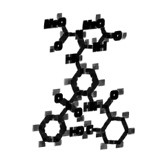 COC(=O)N=C(NC(=O)OC)Nc1ccc(NC(=O)C2CCCCC2C(=O)O)c(S(=O)(=O)c2ccccc2)c1